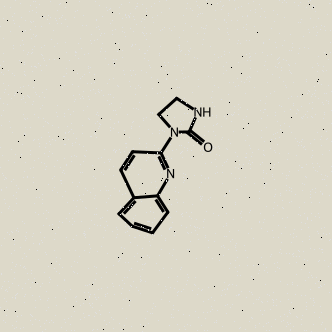 O=C1NCCN1c1ccc2ccccc2n1